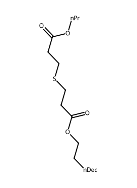 CCCCCCCCCCCCOC(=O)CCSCCC(=O)OCCC